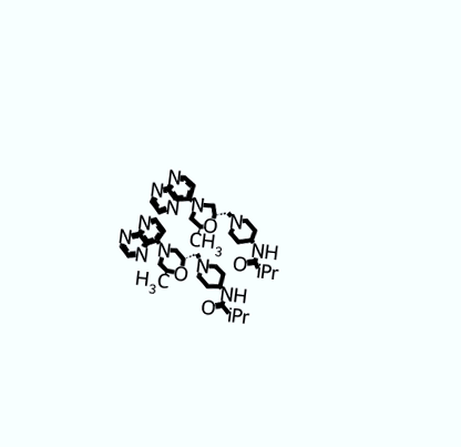 CC(C)C(=O)NC1CCN(C[C@H]2CN(c3ccnc4nccnc34)C[C@@H](C)O2)CC1.CC(C)C(=O)NC1CCN(C[C@H]2CN(c3ccnc4nccnc34)C[C@@H](C)O2)CC1